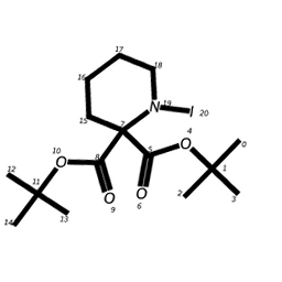 CC(C)(C)OC(=O)C1(C(=O)OC(C)(C)C)CCCCN1I